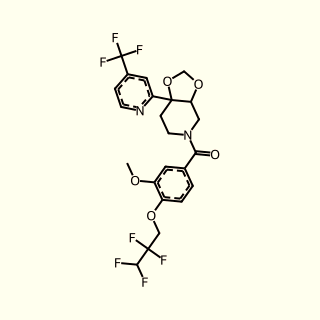 COc1cc(C(=O)N2CCC3(c4cc(C(F)(F)F)ccn4)OCOC3C2)ccc1OCC(F)(F)C(F)F